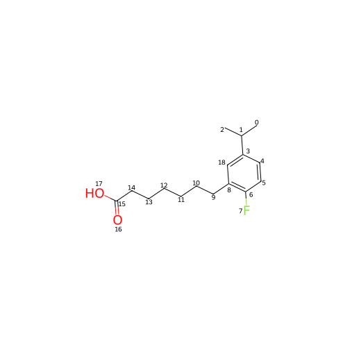 CC(C)c1ccc(F)c(CCCCCCC(=O)O)c1